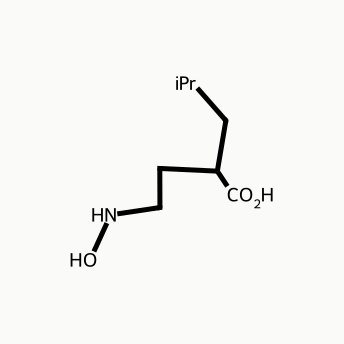 CC(C)CC(CCNO)C(=O)O